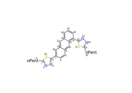 CCCCCc1nnc(-c2ccc3cc4c(-c5nnc(CCCCC)s5)cccc4cc3c2)s1